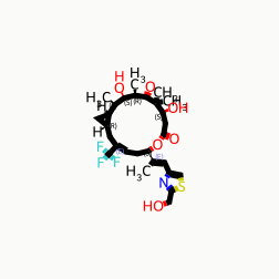 C/C(=C\c1csc(CO)n1)[C@@H]1C/C=C(/C(F)(F)F)C[C@H]2C[C@@H]2[C@H](C)[C@H](O)[C@@H](C)C(=O)C(C)(C)[C@@H](O)CC(=O)O1